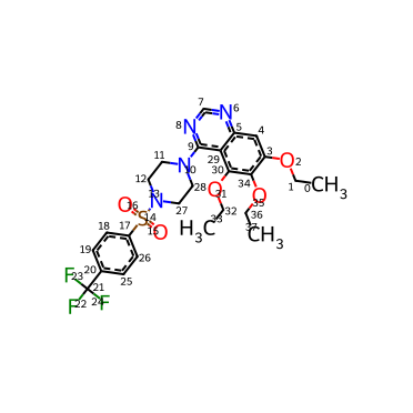 CCOc1cc2ncnc(N3CCN(S(=O)(=O)c4ccc(C(F)(F)F)cc4)CC3)c2c(OCC)c1OCC